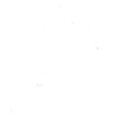 Cc1csc(CNc2ccc3c(c2)Sc2cccc(C4CN(c5cc[nH]c(=O)c5)CCO4)c2S3)c1